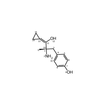 C[C@](N)(Cc1ccc(O)cc1)C(O)=C1CC1